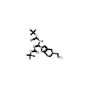 CC(C)(C)OC(=O)/N=C(/NC(=O)OC(C)(C)C)n1cc2c(n1)CCC(CN)C2